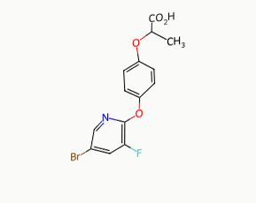 CC(Oc1ccc(Oc2ncc(Br)cc2F)cc1)C(=O)O